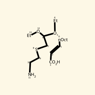 CCCCCCCCC=CC(=O)O.CCOC(CSCCN)OCC